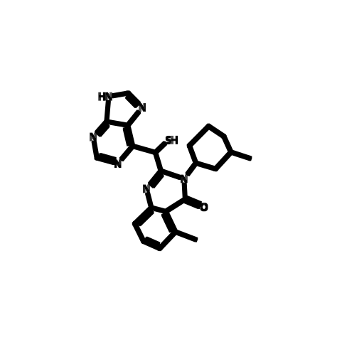 Cc1cccc2nc(C(S)c3ncnc4[nH]cnc34)n(C3CCCC(C)C3)c(=O)c12